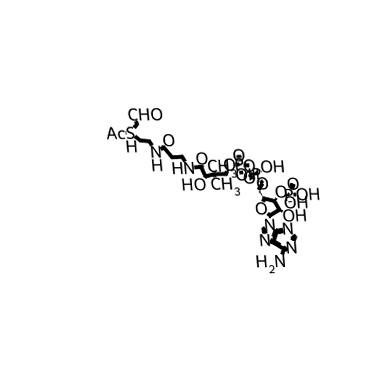 CC(=O)[SH](CC=O)CCNC(=O)CCNC(=O)C(O)C(C)(C)COP(=O)(O)OP(=O)(O)OC[C@H]1O[C@@H](n2cnc3c(N)ncnc32)[C@H](O)[C@@H]1OP(=O)(O)O